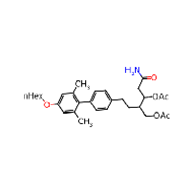 CCCCCCOc1cc(C)c(-c2ccc(CCC(COC(C)=O)C(CC(N)=O)OC(C)=O)cc2)c(C)c1